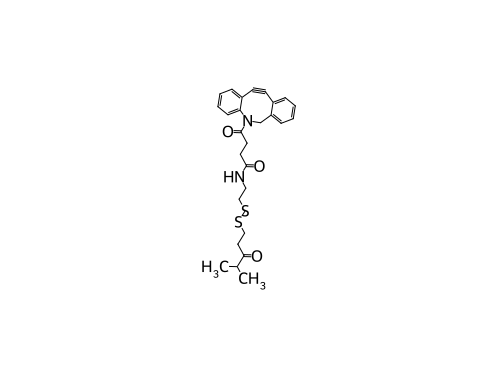 CC(C)C(=O)CCSSCCNC(=O)CCC(=O)N1Cc2ccccc2C#Cc2ccccc21